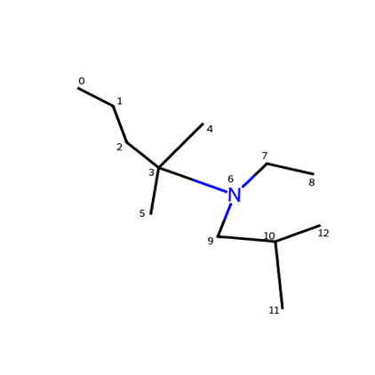 CCCC(C)(C)N(CC)CC(C)C